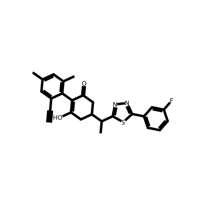 C#Cc1cc(C)cc(C)c1C1=C(O)CC(C(C)c2nnc(-c3cccc(F)c3)s2)CC1=O